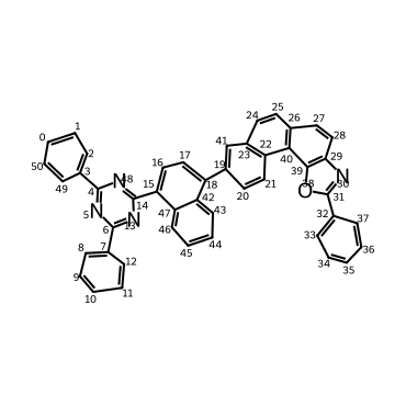 c1ccc(-c2nc(-c3ccccc3)nc(-c3ccc(-c4ccc5c(ccc6ccc7nc(-c8ccccc8)oc7c65)c4)c4ccccc34)n2)cc1